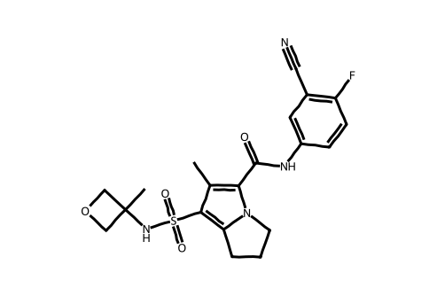 Cc1c(S(=O)(=O)NC2(C)COC2)c2n(c1C(=O)Nc1ccc(F)c(C#N)c1)CCC2